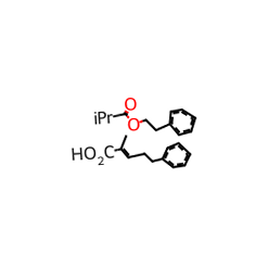 CC(=CCCc1ccccc1)C(=O)O.CC(C)C(=O)OCCc1ccccc1